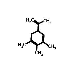 C=C(C)C1C=C(C)C(C)=C(C)C1